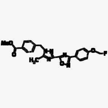 COC(=O)c1ccc(Cn2nc(-c3nc(-c4ccc(OCF)cc4)no3)nc2C)cc1